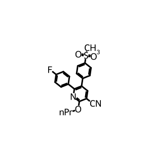 CCCOc1nc(-c2ccc(F)cc2)c(-c2ccc(S(C)(=O)=O)cc2)cc1C#N